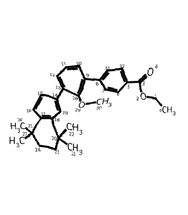 CCOC(=O)c1ccc(-c2cccc(-c3ccc4c(c3)C(C)(C)CCC4(C)C)c2OC)cc1